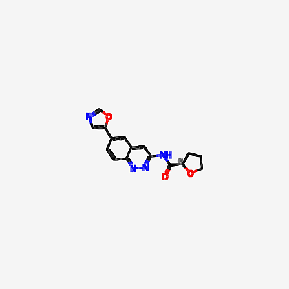 O=C(Nc1cc2cc(-c3cnco3)ccc2nn1)[C@H]1CCCO1